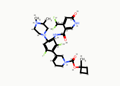 CC1CN(c2cc(F)c(C3=CCCN(C(=O)OC4(C)CCC4)C3)c(F)c2NC(=O)c2c[nH]c(=O)cc2C(F)F)CCN1C